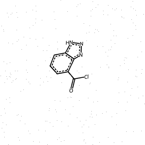 O=C(Cl)c1cccc2[nH]nnc12